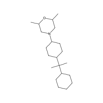 CC1CN(C2CCC(C(C)(C)C3CCCCC3)CC2)CC(C)O1